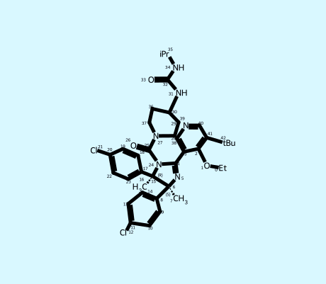 CCOc1c(C2=N[C@@](C)(c3ccc(Cl)cc3)[C@@](C)(c3ccc(Cl)cc3)N2C(=O)N2CCC(NC(=O)NC(C)C)CC2)cncc1C(C)(C)C